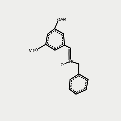 COc1cc(C=[N+]([O-])Cc2ccccc2)cc(OC)c1